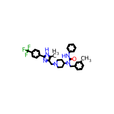 Cc1cccc(CN(C(=O)Nc2ccccc2)C2CCN(Cc3nc(-c4ccc(C(F)(F)F)cc4)[nH]c3C)CC2)c1